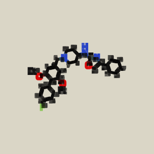 CCOc1cc(CN2CCC(Nc3nc(-c4ccccc4)co3)CC2)cc(OCC)c1-c1ccc(F)cc1